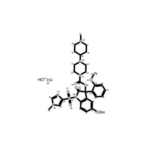 COc1ccc2c(c1)C(OC(=O)N1CCN(C3CCN(C)CC3)CC1)(c1ccccc1OC(C)C)C(=O)N2S(=O)(=O)c1cn(C)cn1.Cl.Cl